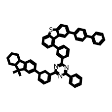 CC1(C)c2cc(C3C=CC=C(c4nc(-c5ccccc5)nc(-c5cccc(-c6cccc7sc8ccc(-c9ccc(-c%10ccccc%10)cc9)cc8c67)c5)n4)C3)ccc2C2CCCCC21